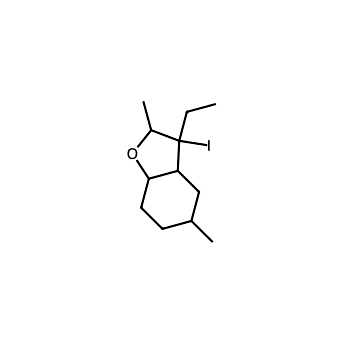 CCC1(I)C(C)OC2CCC(C)CC21